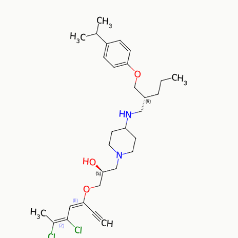 C#C/C(=C\C(Cl)=C(/C)Cl)OC[C@@H](O)CN1CCC(NC[C@@H](CCC)COc2ccc(C(C)C)cc2)CC1